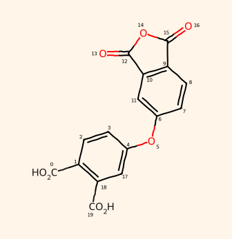 O=C(O)c1ccc(Oc2ccc3c(c2)C(=O)OC3=O)cc1C(=O)O